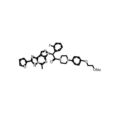 COCCOc1ccc(N2CCN(C(=O)C(c3ccccc3F)n3ncc4c3nc(C)n3nc(-c5ccco5)nc43)CC2)cc1